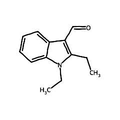 CCc1c(C=O)c2ccccc2n1CC